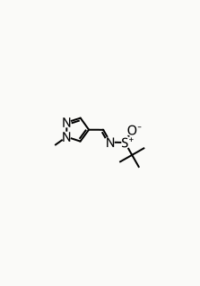 Cn1cc(C=N[S@+]([O-])C(C)(C)C)cn1